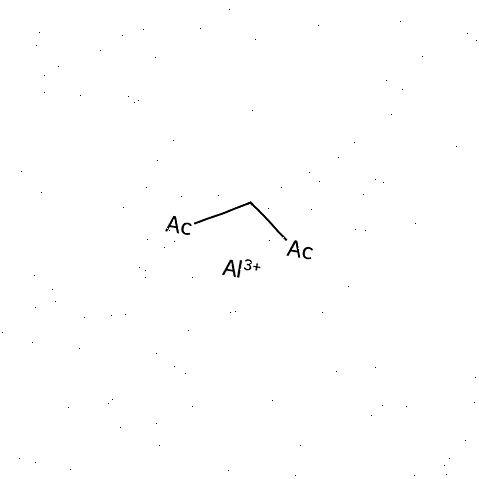 CC(=O)CC(C)=O.[Al+3]